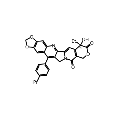 CC[C@@]1(O)C(=O)OCc2c1cc1n(c2=O)Cc2c-1nc1cc3c(cc1c2-c1ccc(C(C)C)cc1)OCO3